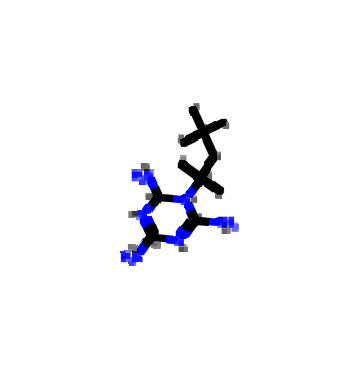 CC(C)(C)CC(C)(C)N1C(N)=NC(N)=NC1N